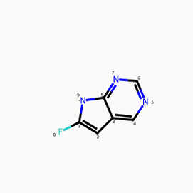 FC1=Cc2cncnc2[N]1